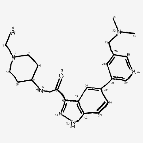 CC(C)CN1CCC(NC(=O)c2n[nH]c3ccc(-c4cncc(CN(C)C)c4)cc23)CC1